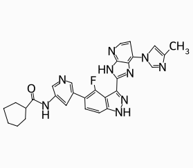 Cc1cn(-c2ccnc3[nH]c(-c4n[nH]c5ccc(-c6cncc(NC(=O)C7CCCCC7)c6)c(F)c45)nc23)cn1